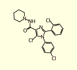 O=C(NN1CCCCC1)c1nc(-c2ccccc2Cl)n(-c2ccc(Cl)cc2)c1Cl